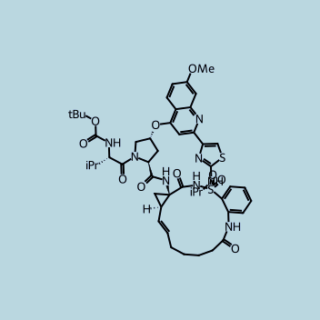 COc1ccc2c(O[C@@H]3C[C@@H](C(=O)N[C@]45C[C@@H]4/C=C/CCCCC(=O)Nc4ccccc4S(=O)(=O)NC5=O)N(C(=O)[C@@H](NC(=O)OC(C)(C)C)C(C)C)C3)cc(-c3csc(NC(C)C)n3)nc2c1